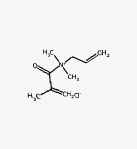 C=CC[N+](C)(C)C(=O)C(=C)C.[Cl-]